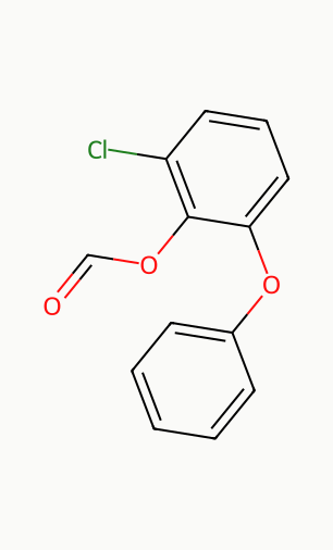 O=COc1c(Cl)cccc1Oc1ccccc1